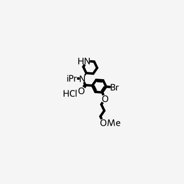 COCCCOc1cc(C(=O)N(C(C)C)[C@@H]2CCCNC2)ccc1Br.Cl